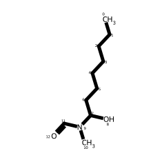 CCCCCCCC(O)N(C)C=O